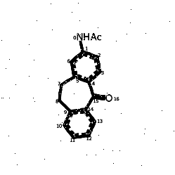 CC(=O)Nc1ccc2c(c1)CCc1ccccc1C2=O